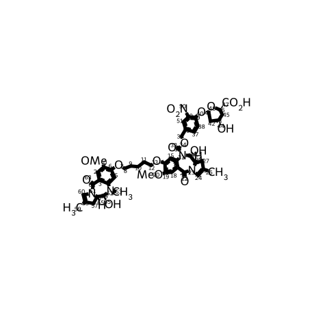 COc1cc2c(cc1OCCCCCOc1cc3c(cc1OC)C(=O)N1C=C(C)C[C@H]1[C@H](O)N3C(=O)OCc1ccc(O[C@H]3C[C@@H](O)C[C@@H](C(=O)O)O3)c([N+](=O)[O-])c1)N(C)[C@@H](O)[C@@H]1CC(C)=CN1C2=O